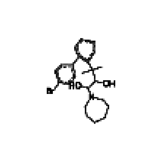 CC(C)(c1ccccc1-c1ccc(Br)cc1)C(O)C(O)N1CCCCCC1